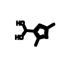 Cc1cc(C(O)O)c(C)s1